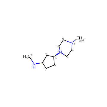 CN[C@@H]1CC[C@H](N2CCN(C)CC2)C1